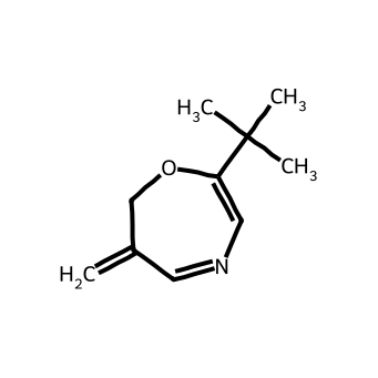 C=C1C=NC=C(C(C)(C)C)OC1